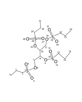 CCCS(=O)(=O)OCC(OS(=O)(=O)CCC)C(COS(=O)(=O)CCC)OS(=O)(=O)CCC